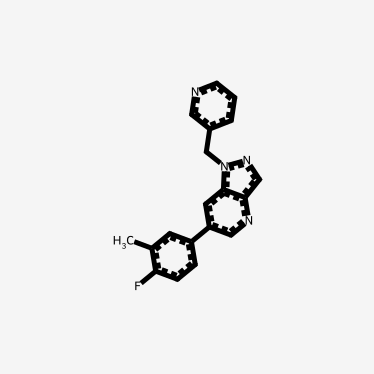 Cc1cc(-c2cnc3cnn(Cc4cccnc4)c3c2)ccc1F